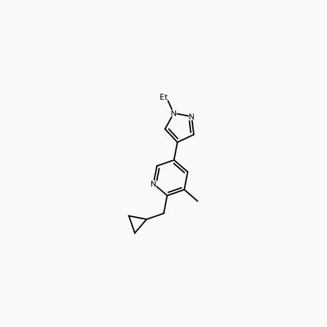 CCn1cc(-c2cnc(CC3CC3)c(C)c2)cn1